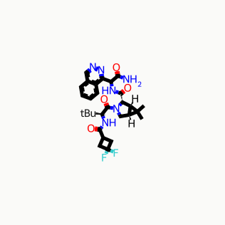 CC(C)(C)[C@H](NC(=O)C1CC(F)(F)C1)C(=O)N1C[C@H]2[C@@H]([C@H]1C(=O)NC(C(N)=O)c1nncc3ccccc13)C2(C)C